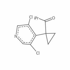 CC(C)C(=O)C1(c2c(Cl)cncc2Cl)CC1